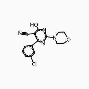 N#Cc1c(O)nc(N2CCOCC2)nc1-c1cccc(Cl)c1